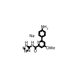 COc1cc(C(=O)Nc2nnn[nH]2)nc(-c2ccc(N)cc2)c1.[Na]